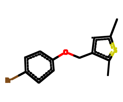 Cc1[c]c(COc2ccc(Br)cc2)c(C)s1